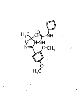 COc1ccc(C2=NOC(C)(C)N2NC(=O)Nc2ccccc2)c(OC)c1